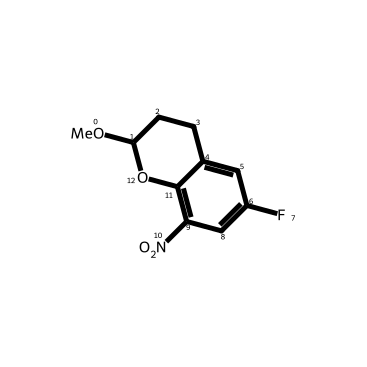 COC1CCc2cc(F)cc([N+](=O)[O-])c2O1